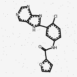 O=C(Nc1ccc(Cl)c(-c2nc3ncncc3[nH]2)c1)c1ccco1